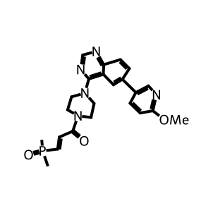 COc1ccc(-c2ccc3ncnc(N4CCN(C(=O)C=CP(C)(C)=O)CC4)c3c2)cn1